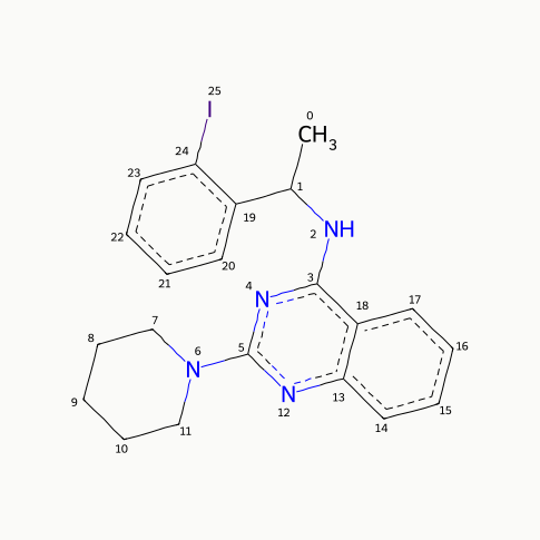 CC(Nc1nc(N2CCCCC2)nc2ccccc12)c1ccccc1I